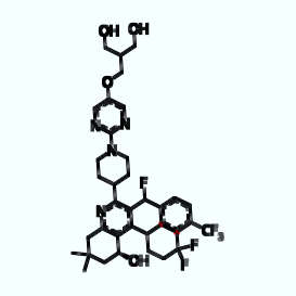 CC1(C)Cc2nc(C3CCN(c4ncc(OCC(CO)CO)cn4)CC3)c(C(F)c3ccc(C(F)(F)F)cc3)c(C3CCC(F)(F)CC3)c2[C@@H](O)C1